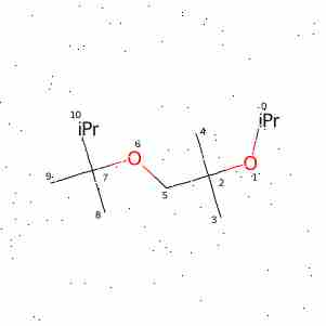 CC(C)OC(C)(C)COC(C)(C)C(C)C